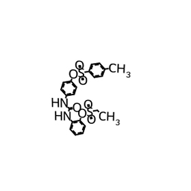 CCS(=O)(=O)Oc1ccccc1NC(=O)Nc1ccc(OS(=O)(=O)c2ccc(C)cc2)cc1